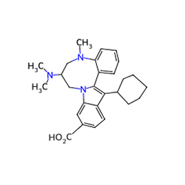 CN1CC(N(C)C)Cn2c(c(C3CCCCC3)c3ccc(C(=O)O)cc32)-c2ccccc21